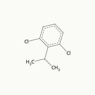 C[C](C)c1c(Cl)cccc1Cl